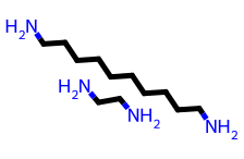 NCCCCCCCCCCN.NCCN